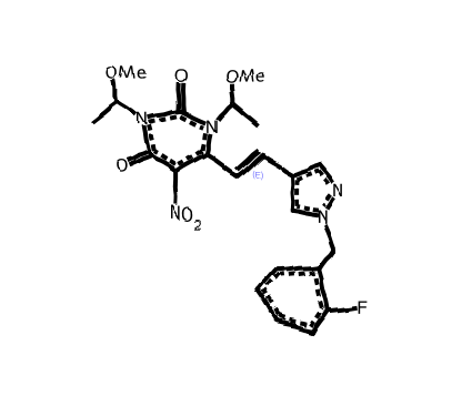 COC(C)n1c(/C=C/c2cnn(Cc3ccccc3F)c2)c([N+](=O)[O-])c(=O)n(C(C)OC)c1=O